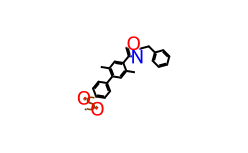 Cc1cc(-c2coc(Cc3ccccc3)n2)c(C)cc1-c1ccc(S(C)(=O)=O)cc1